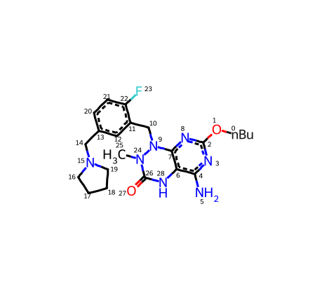 CCCCOc1nc(N)c2c(n1)N(Cc1cc(CN3CCCC3)ccc1F)N(C)C(=O)N2